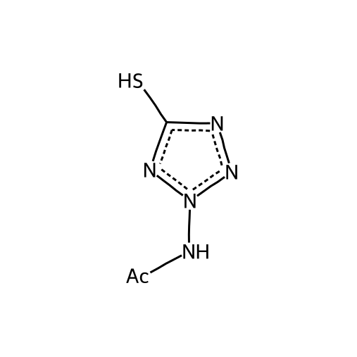 CC(=O)Nn1nnc(S)n1